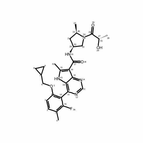 Cc1ccc(OCC2CC2)c(-c2ncnc3c(C(=O)N[C@H]4C[C@@H](C)N(C(=O)[C@H](C)O)C4)c(C)[nH]c23)c1F